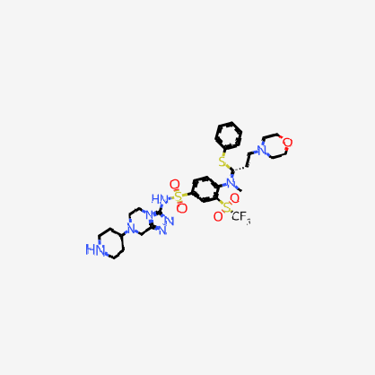 CN(c1ccc(S(=O)(=O)Nc2nnc3n2CCN(C2CCNCC2)C3)cc1S(=O)(=O)C(F)(F)F)[C@@H](CCN1CCOCC1)Sc1ccccc1